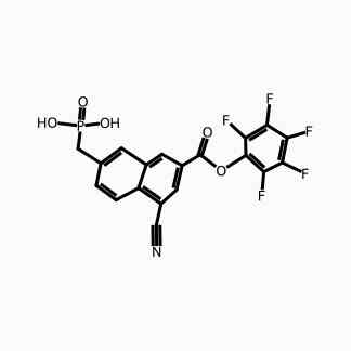 N#Cc1cc(C(=O)Oc2c(F)c(F)c(F)c(F)c2F)cc2cc(CP(=O)(O)O)ccc12